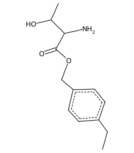 CCc1ccc(COC(=O)C(N)C(C)O)cc1